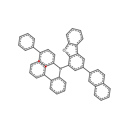 c1ccc(-c2ccc(N(c3ccccc3-c3ccccc3)c3cc(-c4ccc5ccccc5c4)cc4c3oc3ccccc34)cc2)cc1